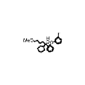 COCCCC[C@@](O)(c1ccccc1Oc1cccc(F)c1)C1CCCCC1